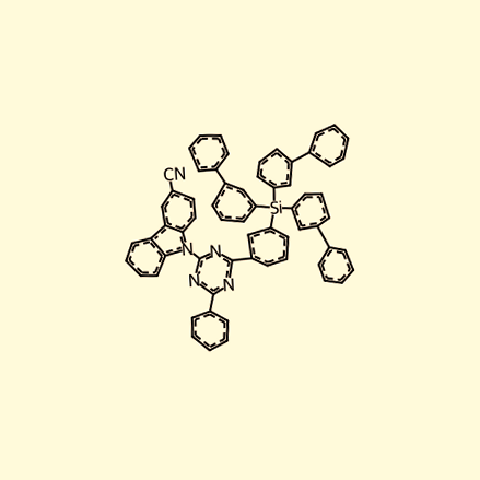 N#Cc1ccc2c(c1)c1ccccc1n2-c1nc(-c2ccccc2)nc(-c2cccc([Si](c3cccc(-c4ccccc4)c3)(c3cccc(-c4ccccc4)c3)c3cccc(-c4ccccc4)c3)c2)n1